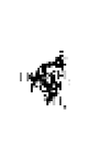 COc1ccc2ncc(N(C)C)c(C(O)CCC3(C(=O)O)CCN(CC#Cc4cc(F)c(F)c(F)c4)CC3)c2c1